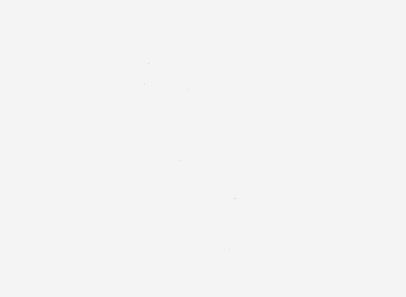 O=C(CC[C@@H]1OC(=O)OC1=O)OCc1ccccc1